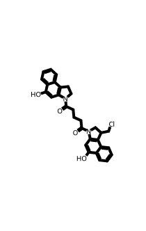 O=C(CCCC(=O)N1CC(CCl)c2c1cc(O)c1ccccc21)N1CCc2c1cc(O)c1ccccc21